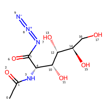 CC(=O)N[C@H](C(=O)N=[N+]=[N-])[C@@H](O)[C@H](O)[C@H](O)CO